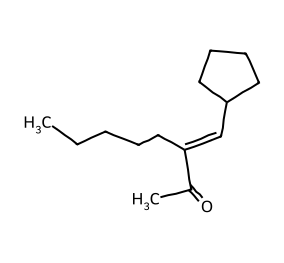 CCCCC/C(=C\C1CCCC1)C(C)=O